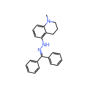 CN1CCCc2c(NN=C(c3ccccc3)c3ccccc3)cccc21